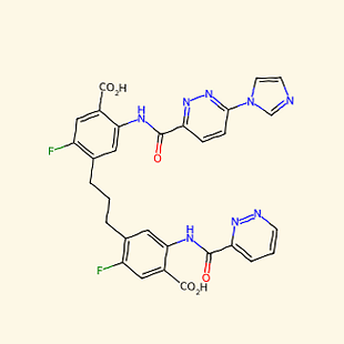 O=C(Nc1cc(CCCc2cc(NC(=O)c3ccc(-n4ccnc4)nn3)c(C(=O)O)cc2F)c(F)cc1C(=O)O)c1cccnn1